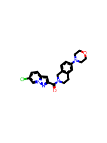 O=C(c1cc2ccc(Cl)cn2n1)N1CCc2cc(N3CCOCC3)ccc2C1